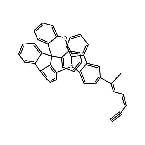 C#C/C=C\C=C(/C)c1ccc2c(c1)c1ccccc1n2-c1cccc2c1C1(c3ccccc3Oc3ccccc31)c1ccccc1-2